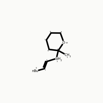 CCCCC=C[SiH2]C1(C)CCCCO1